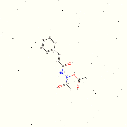 CC(=O)ON(NC(=O)C=Cc1ccccc1)C(C)=O